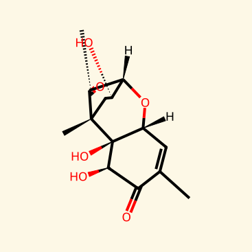 CC1=C[C@H]2O[C@@H]3[C@H](O)C[C@](C)([C@@]2(O)[C@H](O)C1=O)[C@@]31O[C@@H]1C